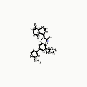 C/C(=N/c1ccc(-c2ccnc(N)c2)cc1-c1nnc[nH]1)N(C)c1ccnc2c(F)ccc(F)c12